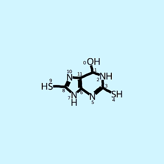 OC1NC(S)=Nc2[nH]c(S)nc21